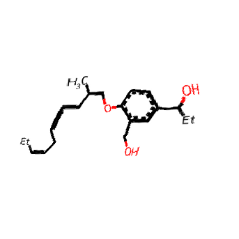 CC/C=C\C/C=C\CC(C)COc1ccc(C(O)CC)cc1CO